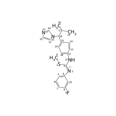 CS/C(=N\c1cccc(F)c1)Nc1ccc(C(C(C)C)n2ccnc2)cc1